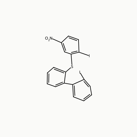 O=[N+]([O-])c1ccc(I)c(Sc2ccccc2-c2ccccc2I)c1